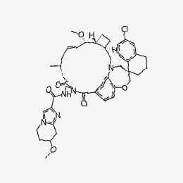 COC1CCn2cc(C(=O)NS3(=O)=NC(=O)c4ccc5c(c4)N(C[C@@H]4CC[C@H]4[C@@H](OC)/C=C/C[C@H](C)C3)C[C@@]3(CCCc4cc(Cl)ccc43)CO5)nc2C1